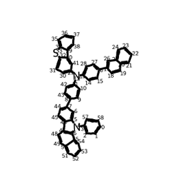 c1ccc(-n2c3cc(-c4ccc(N(c5ccc(-c6ccc7ccccc7c6)cc5)c5ccc6sc7ccccc7c6c5)cc4)ccc3c3ccc4ccccc4c32)cc1